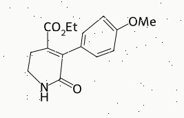 CCOC(=O)C1=C(c2ccc(OC)cc2)C(=O)NCC1